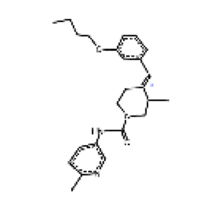 CCCCOc1cccc(/C=C2\CCN(C(=O)Nc3ccc(C)nc3)CC2C)c1